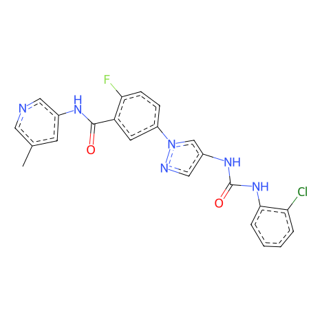 Cc1cncc(NC(=O)c2cc(-n3cc(NC(=O)Nc4ccccc4Cl)cn3)ccc2F)c1